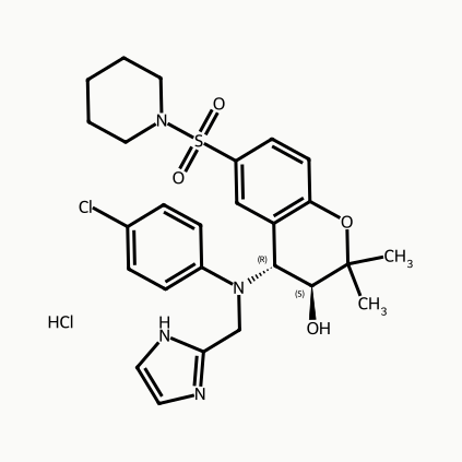 CC1(C)Oc2ccc(S(=O)(=O)N3CCCCC3)cc2[C@@H](N(Cc2ncc[nH]2)c2ccc(Cl)cc2)[C@@H]1O.Cl